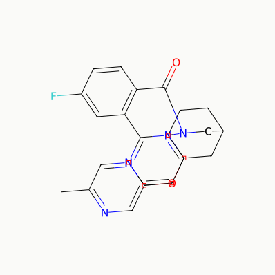 Cc1cnc(OC2CC3CCC2N(C(=O)c2ccc(F)cc2-c2ncccn2)C3)cn1